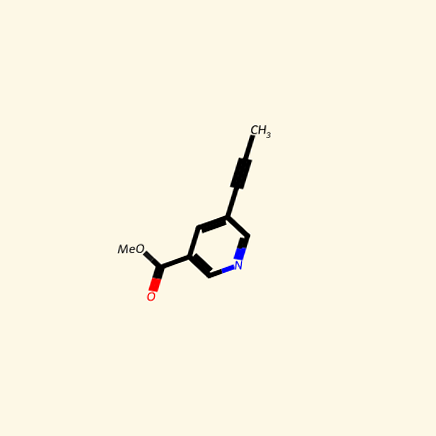 CC#Cc1cncc(C(=O)OC)c1